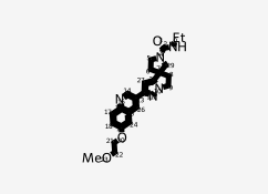 CCNC(=O)N1CCC2(CCn3nc(-c4cnc5ccc(OCCOC)cc5c4)cc32)C1